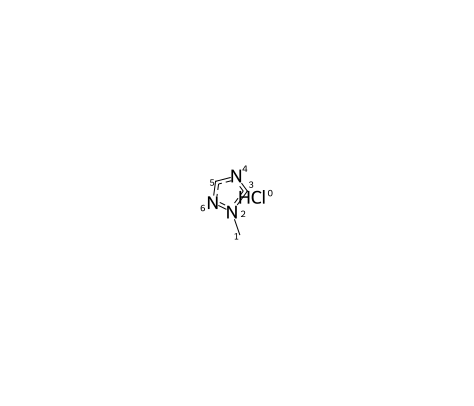 Cl.Cn1cncn1